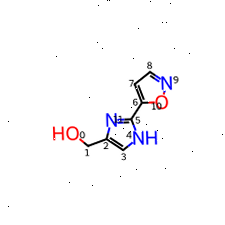 OCc1c[nH]c(-c2ccno2)n1